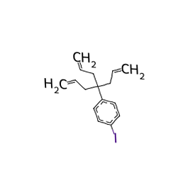 C=CCC(CC=C)(CC=C)c1ccc(I)cc1